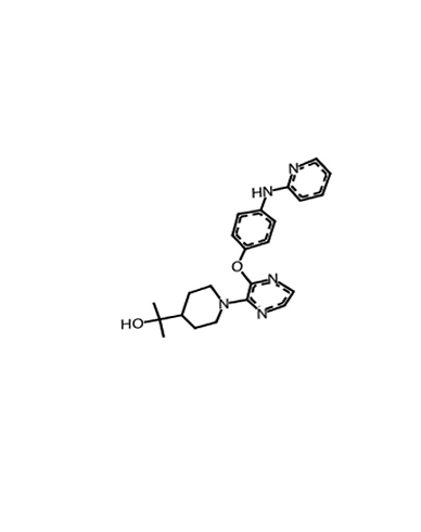 CC(C)(O)C1CCN(c2nccnc2Oc2ccc(Nc3ccccn3)cc2)CC1